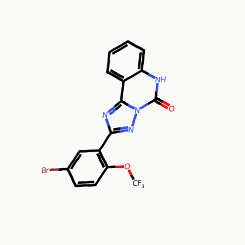 O=c1[nH]c2ccccc2c2nc(-c3cc(Br)ccc3OC(F)(F)F)nn12